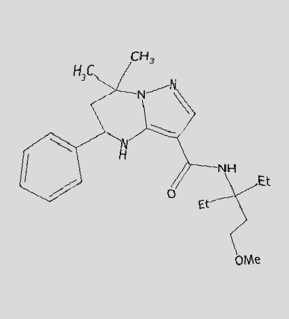 CCC(CC)(CCOC)NC(=O)c1cnn2c1NC(c1ccccc1)CC2(C)C